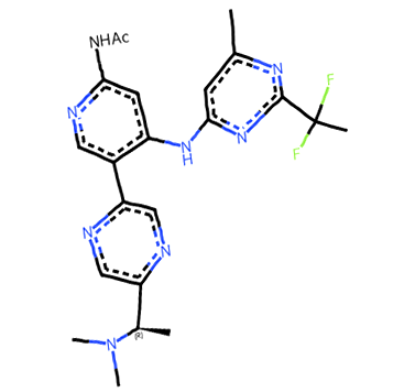 CC(=O)Nc1cc(Nc2cc(C)nc(C(C)(F)F)n2)c(-c2cnc([C@@H](C)N(C)C)cn2)cn1